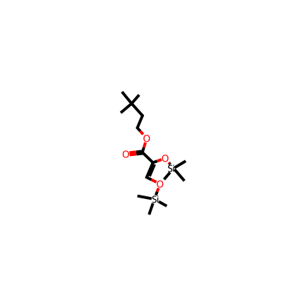 CC(C)(C)CCOC(=O)C(=CO[Si](C)(C)C)O[Si](C)(C)C